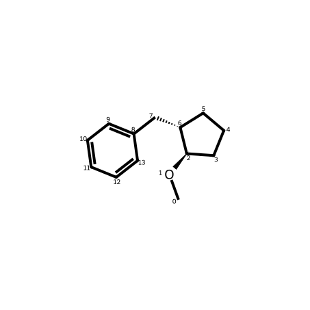 CO[C@@H]1CCC[C@H]1Cc1ccccc1